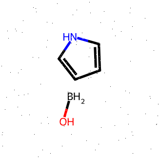 BO.c1cc[nH]c1